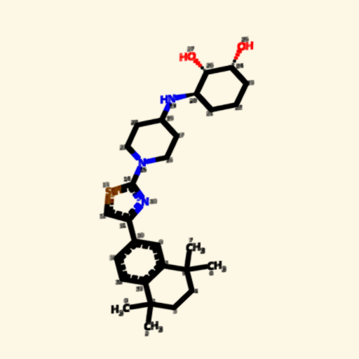 CC1(C)CCC(C)(C)c2cc(-c3csc(N4CCC(N[C@@H]5CCC[C@@H](O)[C@H]5O)CC4)n3)ccc21